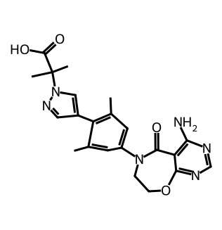 Cc1cc(N2CCOc3ncnc(N)c3C2=O)cc(C)c1-c1cnn(C(C)(C)C(=O)O)c1